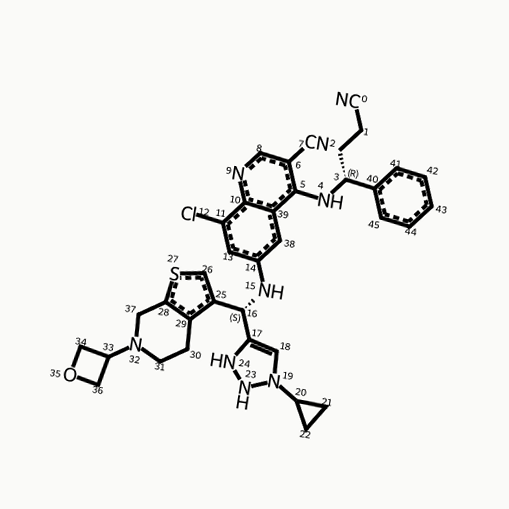 N#CCC[C@@H](Nc1c(C#N)cnc2c(Cl)cc(N[C@H](C3=CN(C4CC4)NN3)c3csc4c3CCN(C3COC3)C4)cc12)c1ccccc1